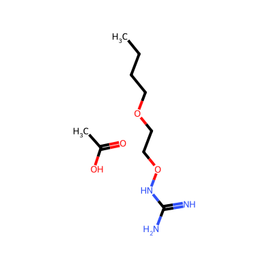 CC(=O)O.CCCCOCCONC(=N)N